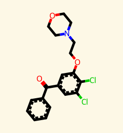 O=C(c1ccccc1)c1cc(Cl)c(Cl)c(OCCN2CCOCC2)c1